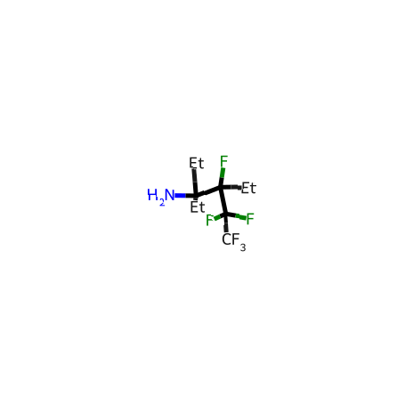 CCC(N)(CC)C(F)(CC)C(F)(F)C(F)(F)F